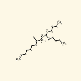 CCCCCCCC(I)[SiH2]OC(OCCCC)OCCCC